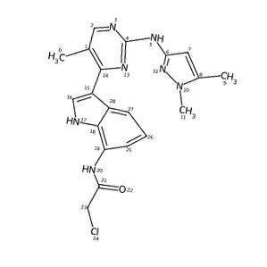 Cc1cnc(Nc2cc(C)n(C)n2)nc1-c1c[nH]c2c(NC(=O)CCl)cccc12